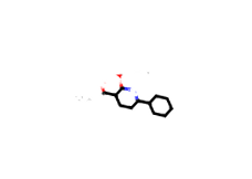 CCCCCCOC1NC(C2CCCCC2)CCC1C(O)OC